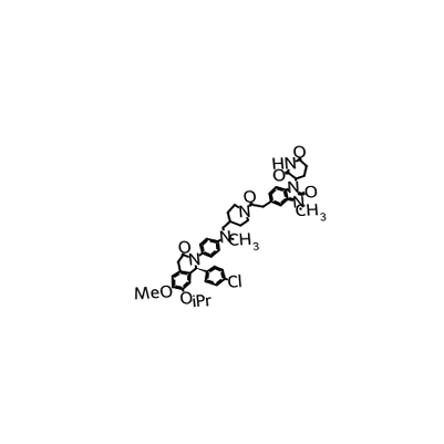 COc1cc2c(cc1OC(C)C)[C@H](c1ccc(Cl)cc1)N(c1ccc(N(C)CC3CCN(C(=O)Cc4ccc5c(c4)n(C)c(=O)n5C4CCC(=O)NC4=O)CC3)cc1)C(=O)C2